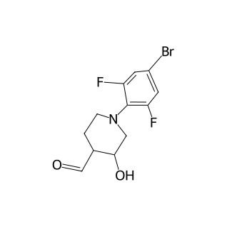 O=CC1CCN(c2c(F)cc(Br)cc2F)CC1O